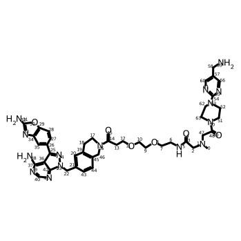 CN(CC(=O)NCCOCCOCCC(=O)N1CCc2cc(Cn3nc(-c4ccc5oc(N)nc5c4)c4c(N)ncnc43)ccc2C1)CC(=O)N1CCN(c2ncc(CN)cn2)CC1